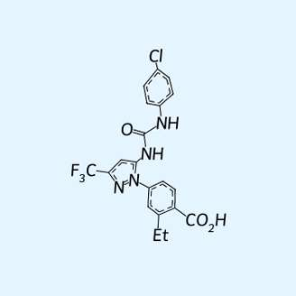 CCc1cc(-n2nc(C(F)(F)F)cc2NC(=O)Nc2ccc(Cl)cc2)ccc1C(=O)O